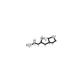 CNCC(N)CC1CCOC1